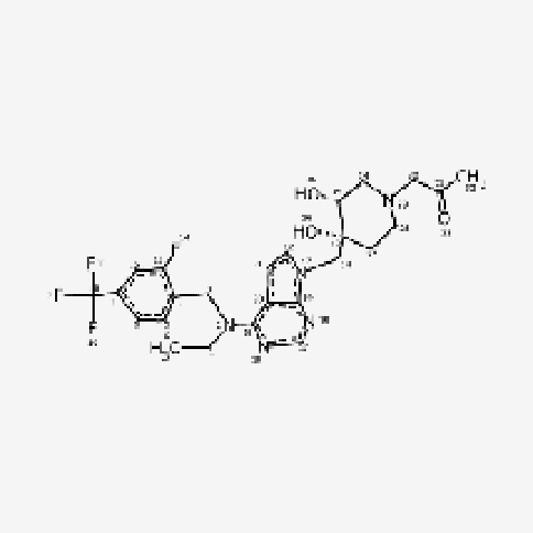 CCN(Cc1ccc(C(F)(F)F)cc1F)c1ncnc2c1ccn2C[C@]1(O)CCN(CC(C)=O)C[C@H]1O